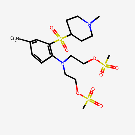 CN1CCC(S(=O)(=O)c2cc([N+](=O)[O-])ccc2N(CCOS(C)(=O)=O)CCOS(C)(=O)=O)CC1